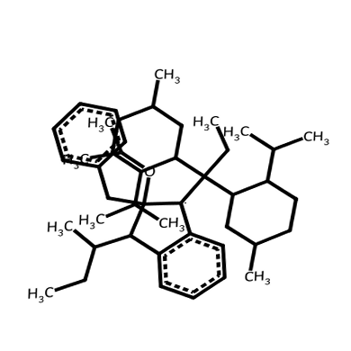 CCC(C)C1c2ccccc2[C](C(CC)(C2CC(C)CCC2C(C)C)C2CC(C)CCC2C(C)C)C1(Cc1ccccc1)OC(C)C